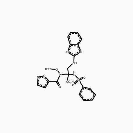 CCCON(C(=O)c1ccno1)C(CNc1nc2ccccc2[nH]1)(NS(=O)(=O)c1ccccc1)C(=O)O